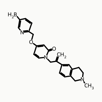 Bc1ccc(COc2ccn(CC(=C)c3ccc4c(c3)CCN(C)C4)c(=O)c2)nc1